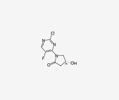 O=C1C[C@@H](O)CN1c1nc(Cl)ncc1F